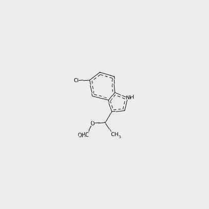 CC(OC=O)c1c[nH]c2ccc(Cl)cc12